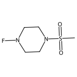 CS(=O)(=O)N1CCN(F)CC1